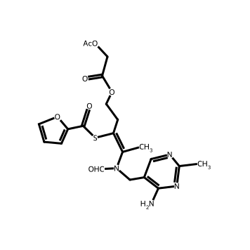 CC(=O)OCC(=O)OCC/C(SC(=O)c1ccco1)=C(\C)N(C=O)Cc1cnc(C)nc1N